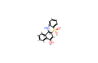 O=S1(=O)c2ccccc2Nc2c1cc(O)c1ccccc21